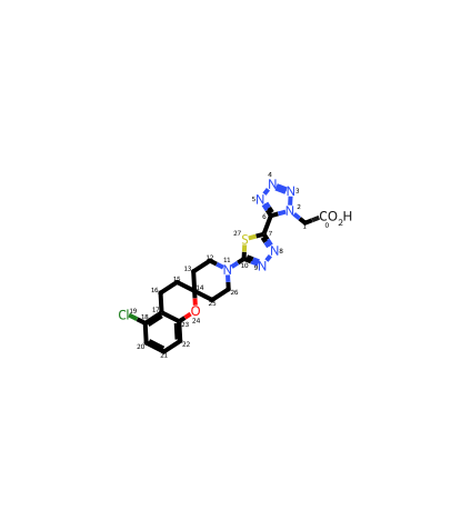 O=C(O)Cn1nnnc1-c1nnc(N2CCC3(CCc4c(Cl)cccc4O3)CC2)s1